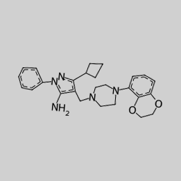 Nc1c(CN2CCN(c3cccc4c3OCCO4)CC2)c(C2CCC2)nn1-c1ccccc1